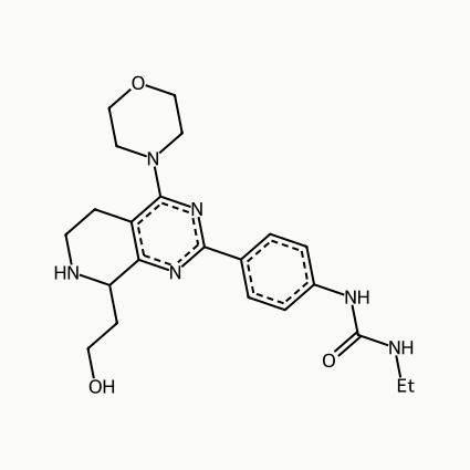 CCNC(=O)Nc1ccc(-c2nc3c(c(N4CCOCC4)n2)CCNC3CCO)cc1